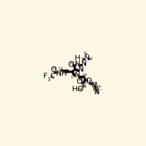 CN(C)/C=N/c1nc2c(c(C#CCNC(=O)C(F)(F)F)cn2[C@H]2C[C@H](OCN=[N+]=[N-])[C@@H](CO)O2)c(=O)[nH]1